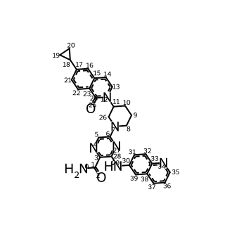 NC(=O)c1ncc(N2CCCC(n3ccc4cc(C5CC5)ccc4c3=O)C2)nc1Nc1ccc2ncccc2c1